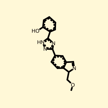 COCC1N=Cc2cc(-c3n[nH]c(-c4ccccc4O)n3)ccc21